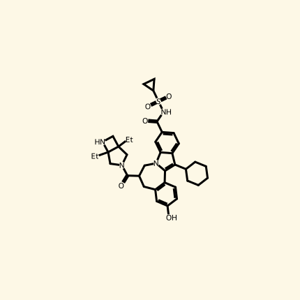 CCC12CNC1(CC)CN(C(=O)C1Cc3cc(O)ccc3-c3c(C4CCCCC4)c4ccc(C(=O)NS(=O)(=O)C5CC5)cc4n3C1)C2